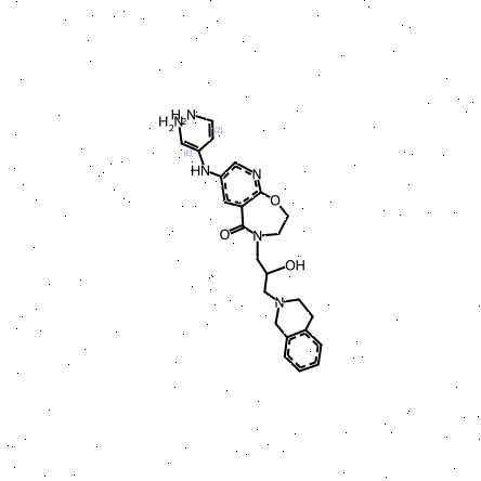 N/C=C\C(=C/N)Nc1cnc2c(c1)C(=O)N(CC(O)CN1CCc3ccccc3C1)CCO2